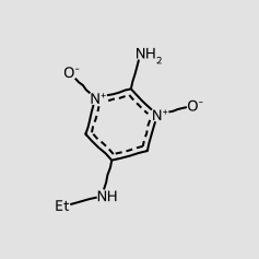 CCNc1c[n+]([O-])c(N)[n+]([O-])c1